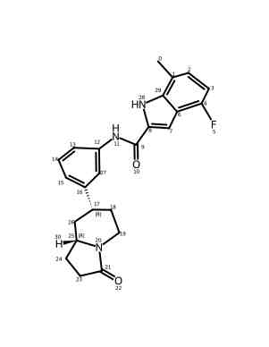 Cc1ccc(F)c2cc(C(=O)Nc3cccc([C@@H]4CCN5C(=O)CC[C@@H]5C4)c3)[nH]c12